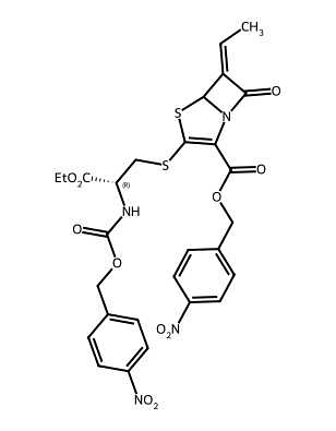 CC=C1C(=O)N2C(C(=O)OCc3ccc([N+](=O)[O-])cc3)=C(SC[C@H](NC(=O)OCc3ccc([N+](=O)[O-])cc3)C(=O)OCC)SC12